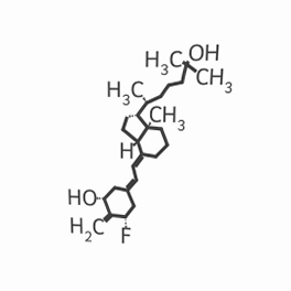 C=C1[C@H](O)C/C(=C\C=C2/CCC[C@]3(C)[C@@H]([C@H](C)CCCC(C)(C)O)CC[C@@H]23)C[C@@H]1F